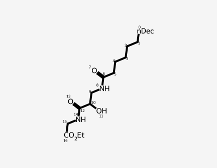 CCCCCCCCCCCCCCCC(=O)NCC(O)C(=O)NCC(=O)OCC